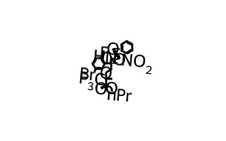 CCCOC(=O)[C@@](C)(OC[C@@](C)(NS(=O)(=O)c1ccccc1[N+](=O)[O-])c1cc(Br)ccc1F)C(F)(F)F